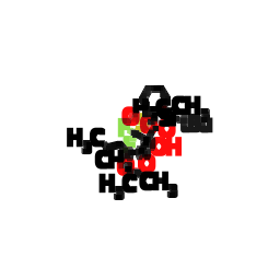 CC(C)=C[C@@H]1OC(C)(C)O[C@@H]1[C@](O)(CO[Si](C)(C)C(C)(C)C)C(F)(F)S(=O)(=O)c1ccccc1